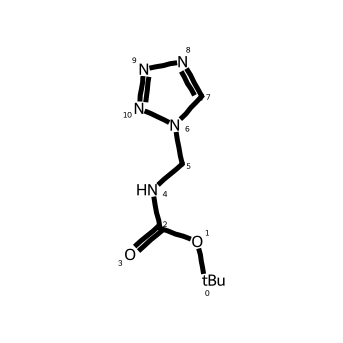 CC(C)(C)OC(=O)NCn1[c]nnn1